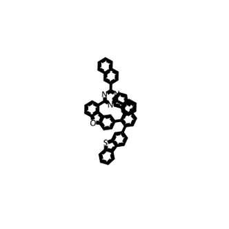 c1ccc(-c2nc(-c3ccc4ccccc4c3)nc(-c3cccc4oc5ccc(-c6c(-c7ccc8c(c7)sc7ccccc78)ccc7sc8ccccc8c67)cc5c34)n2)cc1